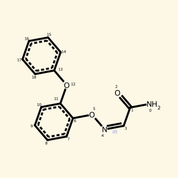 NC(=O)/C=N\Oc1ccccc1Oc1ccccc1